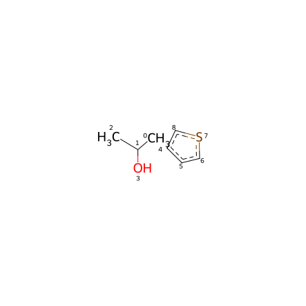 CC(C)O.c1ccsc1